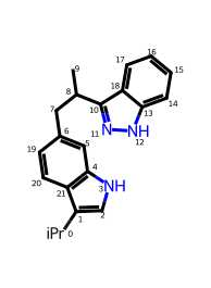 CC(C)c1c[nH]c2cc(CC(C)c3n[nH]c4ccccc34)ccc12